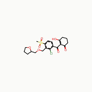 CS(=O)(=O)c1ccc(C(=O)C2=C(O)CCCC2=O)c(Cl)c1COCC1CCCO1